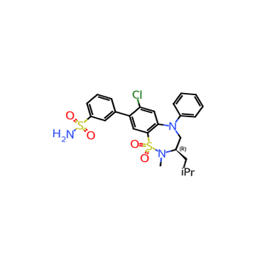 CC(C)C[C@@H]1CN(c2ccccc2)c2cc(Cl)c(-c3cccc(S(N)(=O)=O)c3)cc2S(=O)(=O)N1C